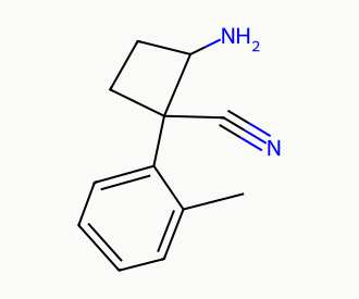 Cc1ccccc1C1(C#N)CCC1N